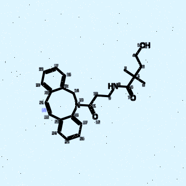 CC(C)(CCO)C(=O)NCCC(=O)N1Cc2ccccc2/C=C\c2ccccc21